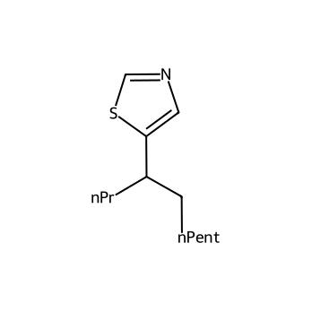 CCCCCCC(CCC)c1cncs1